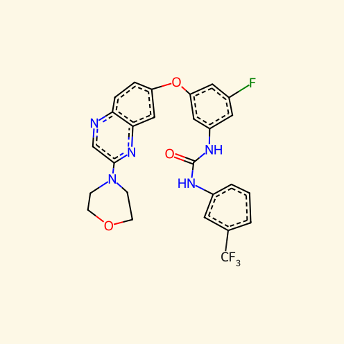 O=C(Nc1cc(F)cc(Oc2ccc3ncc(N4CCOCC4)nc3c2)c1)Nc1cccc(C(F)(F)F)c1